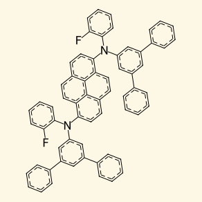 Fc1ccccc1N(c1cc(-c2ccccc2)cc(-c2ccccc2)c1)c1ccc2ccc3c(N(c4cc(-c5ccccc5)cc(-c5ccccc5)c4)c4ccccc4F)ccc4ccc1c2c43